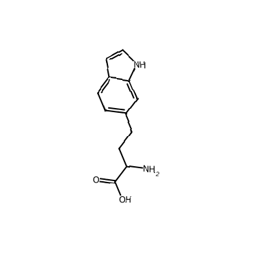 NC(CCc1ccc2cc[nH]c2c1)C(=O)O